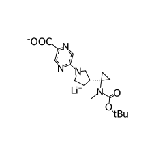 CN(C(=O)OC(C)(C)C)C1([C@@H]2CCN(c3cnc(C(=O)[O-])cn3)C2)CC1.[Li+]